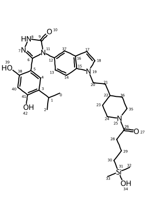 CC(C)c1cc(-c2n[nH]c(=O)n2-c2ccc3c(ccn3CCC3CCN(C(=O)CCC[Si](C)(C)O)CC3)c2)c(O)cc1O